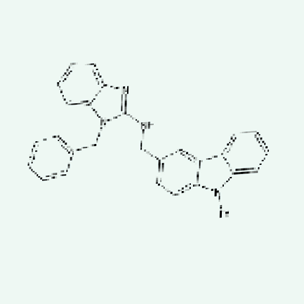 CCn1c2ccccc2c2cc(CNc3nc4ccccc4n3Cc3ccccc3)ccc21